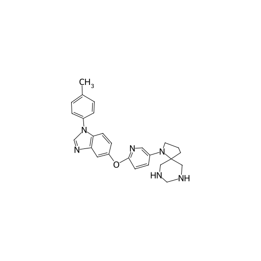 Cc1ccc(-n2cnc3cc(Oc4ccc(N5CCCC56CNCNC6)cn4)ccc32)cc1